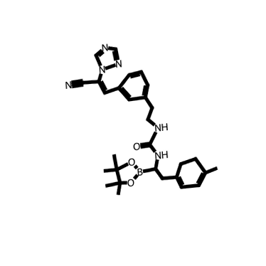 CC1=CC=C(CC(NC(=O)NCCc2cccc(C=C(C#N)n3cncn3)c2)B2OC(C)(C)C(C)(C)O2)CC1